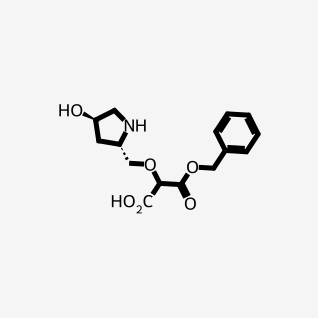 O=C(O)C(OC[C@@H]1C[C@@H](O)CN1)C(=O)OCc1ccccc1